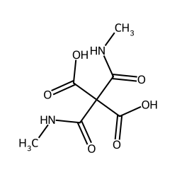 CNC(=O)C(C(=O)O)(C(=O)O)C(=O)NC